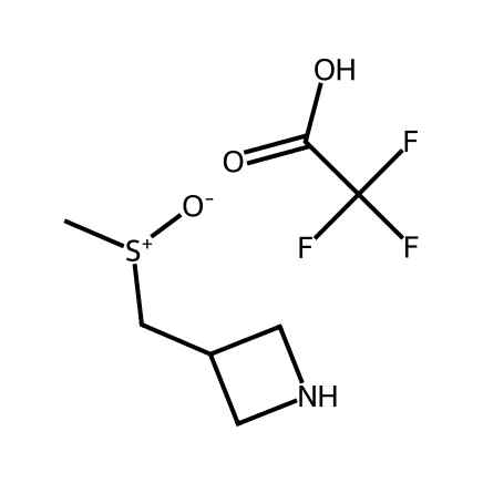 C[S+]([O-])CC1CNC1.O=C(O)C(F)(F)F